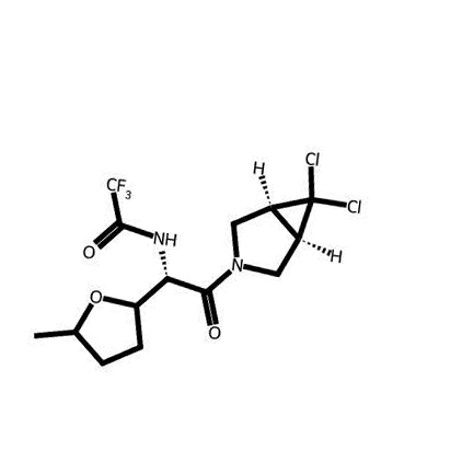 CC1CCC([C@H](NC(=O)C(F)(F)F)C(=O)N2C[C@@H]3[C@H](C2)C3(Cl)Cl)O1